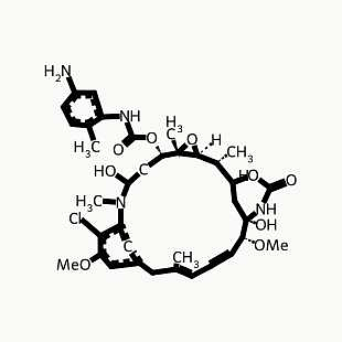 COc1cc2cc(c1Cl)N(C)C(O)C[C@H](OC(=O)Nc1cc(N)ccc1C)[C@]1(C)O[C@H]1[C@H](C)[C@@H]1C[C@@](O)(NC(=O)O1)[C@H](OC)/C=C/C=C(\C)C2